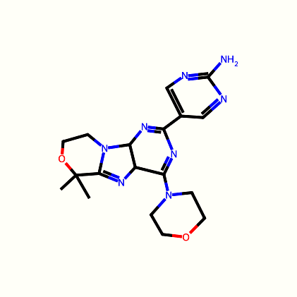 CC1(C)OCCN2C1=NC1C(N3CCOCC3)=NC(c3cnc(N)nc3)=NC12